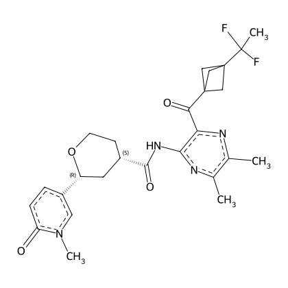 Cc1nc(NC(=O)[C@H]2CCO[C@@H](c3ccc(=O)n(C)c3)C2)c(C(=O)C23CC(C(C)(F)F)(C2)C3)nc1C